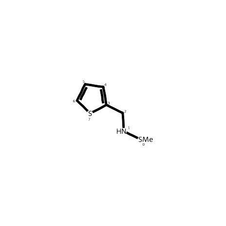 CSNCc1cccs1